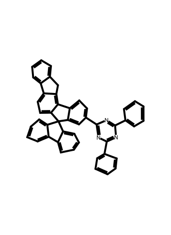 c1ccc(-c2nc(-c3ccccc3)nc(-c3ccc4c(c3)C3(c5ccccc5-c5ccccc53)c3ccc5c(c3-4)Cc3ccccc3-5)n2)cc1